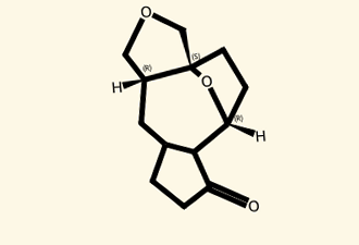 O=C1CCC2C[C@@H]3COC[C@]34CC[C@@H](O4)C12